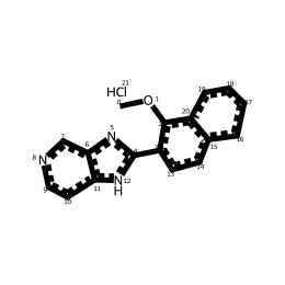 COc1c(-c2nc3cnccc3[nH]2)ccc2ccccc12.Cl